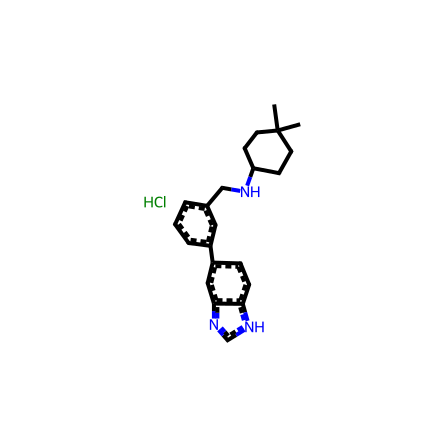 CC1(C)CCC(NCc2cccc(-c3ccc4[nH]cnc4c3)c2)CC1.Cl